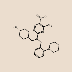 Nc1nc(N(Cc2ccccc2N2CCCCC2)C[C@H]2CC[C@H](N)CC2)ncc1[N+](=O)[O-]